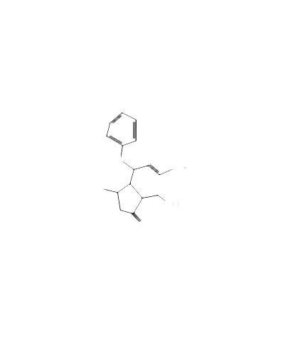 CCCCCC=CC(Sc1ccccc1)C1C(O)CC(=O)C1CO